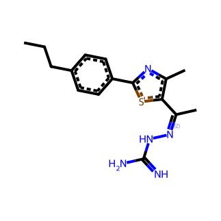 CCCc1ccc(-c2nc(C)c(/C(C)=N\NC(=N)N)s2)cc1